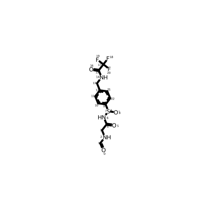 O=CNCC(=O)N[S+]([O-])c1ccc(CNC(=O)C(F)(F)F)cc1